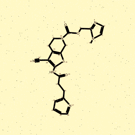 Cn1ccnc1COC(=O)N1CCc2c(sc(NC(=O)CCc3ccccn3)c2C#N)C1